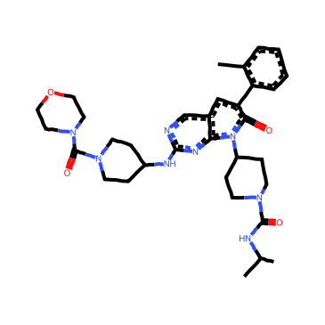 Cc1ccccc1-c1cc2cnc(NC3CCN(C(=O)N4CCOCC4)CC3)nc2n(C2CCN(C(=O)NC(C)C)CC2)c1=O